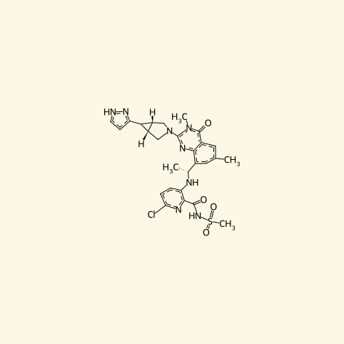 Cc1cc([C@@H](C)Nc2ccc(Cl)nc2C(=O)NS(C)(=O)=O)c2nc(N3C[C@@H]4C(c5cc[nH]n5)[C@@H]4C3)n(C)c(=O)c2c1